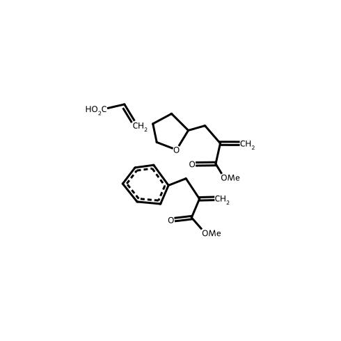 C=C(CC1CCCO1)C(=O)OC.C=C(Cc1ccccc1)C(=O)OC.C=CC(=O)O